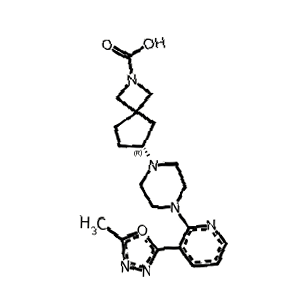 Cc1nnc(-c2cccnc2N2CCN([C@@H]3CCC4(C3)CN(C(=O)O)C4)CC2)o1